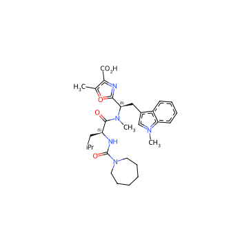 Cc1oc([C@@H](Cc2cn(C)c3ccccc23)N(C)C(=O)[C@H](CC(C)C)NC(=O)N2CCCCCC2)nc1C(=O)O